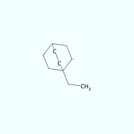 CCC12[CH]CC(CC1)CC2